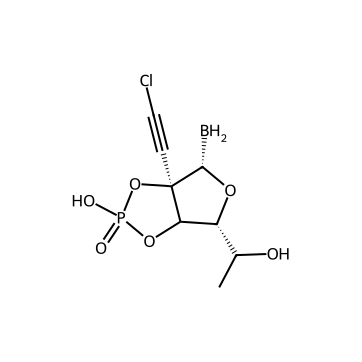 B[C@@H]1O[C@H](C(C)O)C2OP(=O)(O)O[C@]21C#CCl